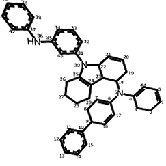 C1=CCCC(N(C2=CCC(c3ccccc3)C=C2)C2CC=CC3C2C2=C(CCCC2)N3c2cccc(Nc3ccccc3)c2)=C1